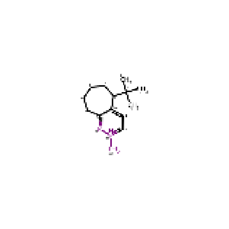 CC(C)(C)C1CCCCC2=P[PH](P)=CC=C21